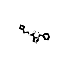 C[C@H](c1ccccc1)n1cncc1C(=O)OCCC1CCC1